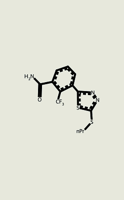 CCCSc1nnc(-c2cccc(C(N)=O)c2C(F)(F)F)s1